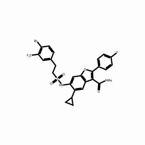 CNC(=O)c1c(-c2ccc(F)cc2)oc2cc(NS(=O)(=O)CCc3ccc(Br)c(C(F)(F)F)c3)c(C3CC3)cc12